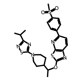 CC(C)c1nsc(N2CCC(C(C)Oc3nc4ccc(-c5ccc(S(C)(=O)=O)cc5)nc4s3)CC2)n1